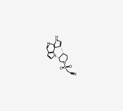 C[C@@H]1CCN(S(=O)(=O)CC#N)C[C@@H]1n1ccc2cnc3[nH]ccc3c21